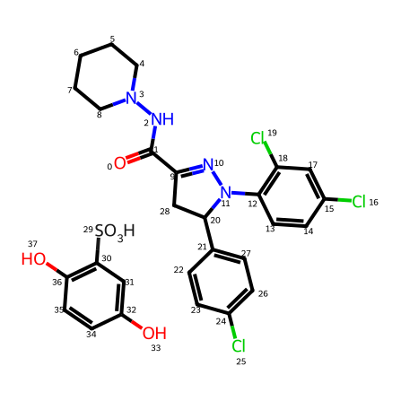 O=C(NN1CCCCC1)C1=NN(c2ccc(Cl)cc2Cl)C(c2ccc(Cl)cc2)C1.O=S(=O)(O)c1cc(O)ccc1O